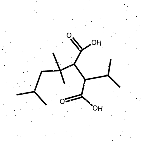 CC(C)CC(C)(C)C(C(=O)O)C(C(=O)O)C(C)C